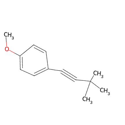 COc1ccc(C#CC(C)(C)C)cc1